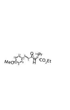 CCOC(=O)[C@H](NC(=O)/C=C/c1ccc(OC)cc1)C(C)C